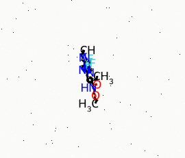 C#CCn1cc(-c2cnc3c(Cc4ccc(C(=O)NCCOCCC)c(CC)c4)nccn23)c(C(F)(F)F)n1